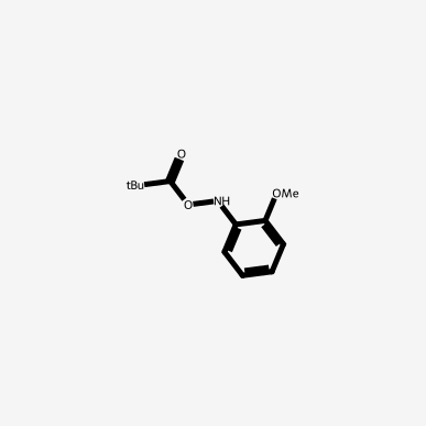 COc1ccccc1NOC(=O)C(C)(C)C